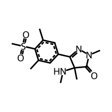 CNC1(C)C(=O)N(C)N=C1c1cc(C)c(S(C)(=O)=O)c(C)c1